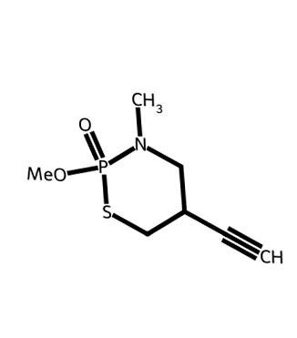 C#CC1CSP(=O)(OC)N(C)C1